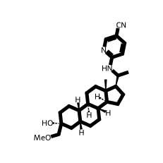 COC[C@@]1(O)CC[C@H]2[C@H](CC[C@@H]3[C@@H]2CC[C@]2(C)[C@@H](C(C)Nc4ccc(C#N)cn4)CC[C@@H]32)C1